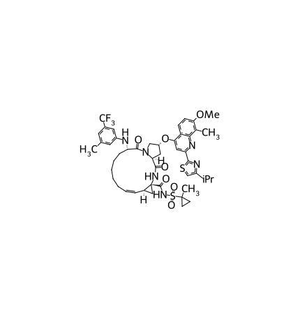 COc1ccc2c(O[C@@H]3C[C@H]4C(=O)N[C@]5(C(=O)NS(=O)(=O)C6(C)CC6)C[C@H]5/C=C\CCCCC[C@H](Nc5cc(C)cc(C(F)(F)F)c5)C(=O)N4C3)cc(-c3nc(C(C)C)cs3)nc2c1C